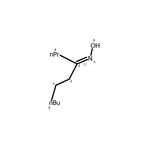 CCCCCC/C(CCC)=N/O